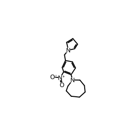 O=[N+]([O-])c1cc(Cn2cccc2)ccc1N1CCCCCCC1